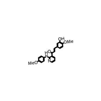 COc1ccc(Nc2ncccc2C(=O)C=Cc2ccc(OC)c(O)c2)cc1